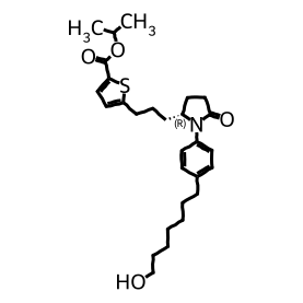 CC(C)OC(=O)c1ccc(CCC[C@@H]2CCC(=O)N2c2ccc(CCCCCCCO)cc2)s1